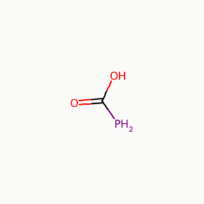 O=C(O)P